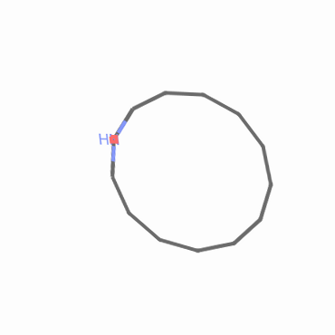 C1CCCCCC2CC(CCCC1)N2